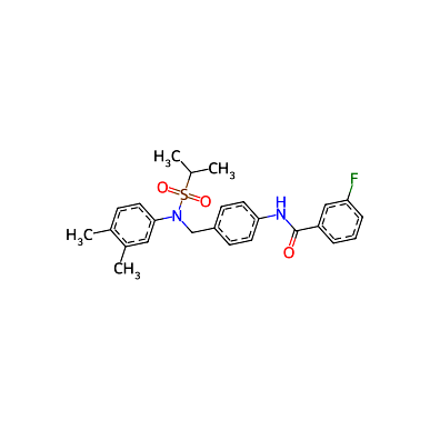 Cc1ccc(N(Cc2ccc(NC(=O)c3cccc(F)c3)cc2)S(=O)(=O)C(C)C)cc1C